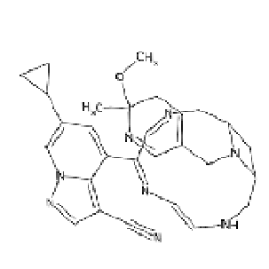 COC1(C)CC=C(CN2C3C\N=C/C(c4cc(C5CC5)cn5ncc(C#N)c45)=N\C=C\NCC2C3)C=N1